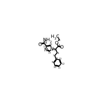 CCOC(=O)C(CCc1ccccc1)n1cnc(C(N)=O)c1